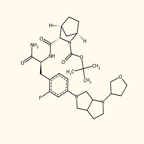 CC(C)(C)OC(=O)N1[C@@H]2CC[C@@H](C2)[C@H]1C(=O)N[C@@H](Cc1ccc(N2CC3CCN(C4CCOC4)C3C2)cc1F)C(N)=O